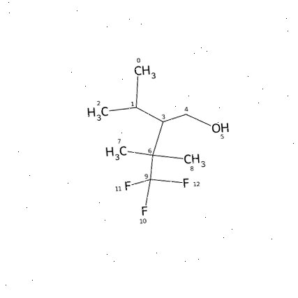 CC(C)C(CO)C(C)(C)C(F)(F)F